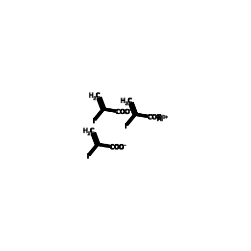 C=C(I)C(=O)[O-].C=C(I)C(=O)[O-].C=C(I)C(=O)[O-].[Al+3]